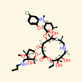 CCCNC[C@]1(O)[C@H](C)O[C@@H](O[C@H]2[C@H](C)[C@@H](O[C@@H]3O[C@H](C)C[C@H](NC)[C@H]3Oc3ccc(Cl)cc3)[C@](C)(O)C[C@@H](C)CN[C@H](C)[C@@H](O)[C@](C)(O)[C@@H](CC)OC(=O)[C@@H]2C)C[C@@]1(C)OC